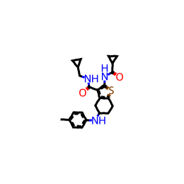 Cc1ccc(NC2CCc3sc(NC(=O)C4CC4)c(C(=O)NCC4CC4)c3C2)cc1